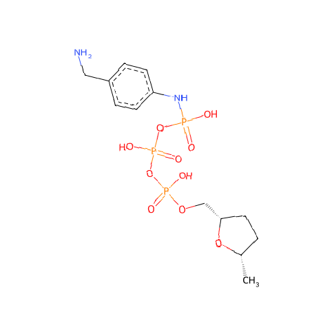 C[C@H]1CC[C@@H](COP(=O)(O)OP(=O)(O)OP(=O)(O)Nc2ccc(CN)cc2)O1